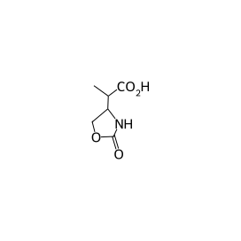 CC(C(=O)O)C1COC(=O)N1